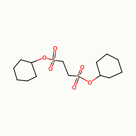 O=S(=O)(CCS(=O)(=O)OC1CCCCC1)OC1CCCCC1